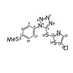 CSc1ccc(-n2nnnc2Sc2ncc(Cl)s2)cc1